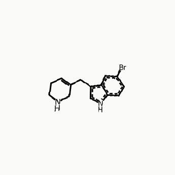 Brc1ccc2[nH]cc(CC3=CCCNC3)c2c1